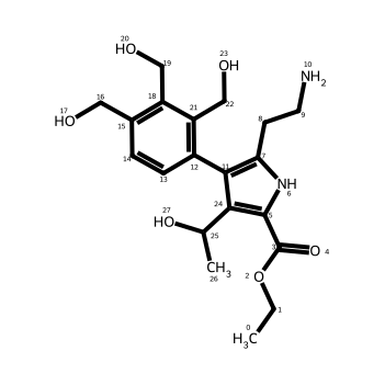 CCOC(=O)c1[nH]c(CCN)c(-c2ccc(CO)c(CO)c2CO)c1C(C)O